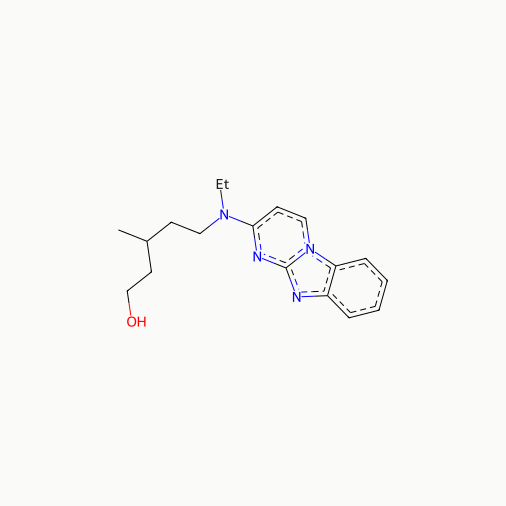 CCN(CCC(C)CCO)c1ccn2c(n1)nc1ccccc12